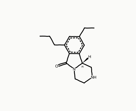 CCCc1cc(CC)cc2c1C(=O)N1CCNC[C@@H]21